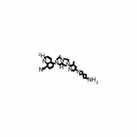 [2H]c1ccc2c(N3C[C@@H]4CN(c5ncc(N6CC7(CC(N)C7)C6)cc5C)CCN4[C@H](C)C3)ccc(C#N)c2n1